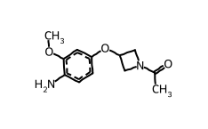 COc1cc(OC2CN(C(C)=O)C2)ccc1N